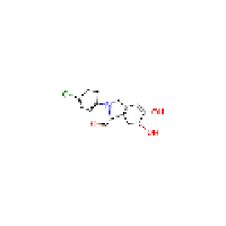 O=CC1c2cc(O)c(O)cc2CN1c1ccc(Cl)cc1